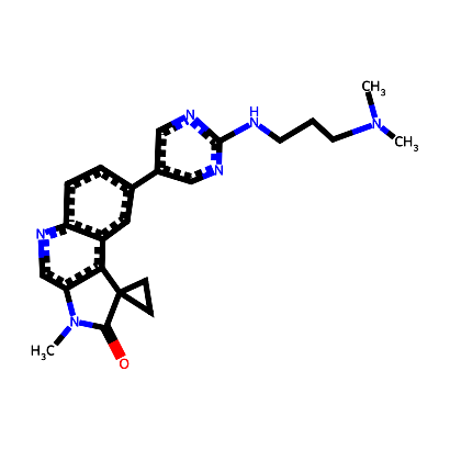 CN(C)CCCNc1ncc(-c2ccc3ncc4c(c3c2)C2(CC2)C(=O)N4C)cn1